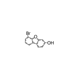 Oc1ccc2c(c1)oc1c(Br)cccc12